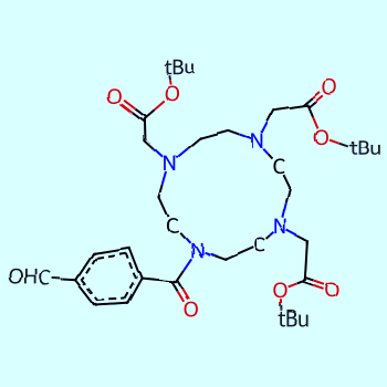 CC(C)(C)OC(=O)CN1CCN(CC(=O)OC(C)(C)C)CCN(C(=O)c2ccc(C=O)cc2)CCN(CC(=O)OC(C)(C)C)CC1